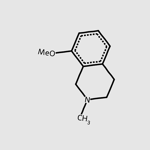 COc1cccc2c1CN(C)CC2